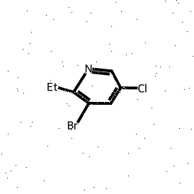 CCc1ncc(Cl)cc1Br